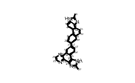 Cc1nc2c(ccc3c4ccc(-c5ccc6c(c5)c5nccnc5c5nc(C)[nH]c65)cc4ccc32)[nH]1